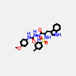 COc1ccc(NC(=O)NNC(=O)C(Cc2c[nH]c3ccccc23)NS(=O)(=O)c2ccc(C)cc2)cc1